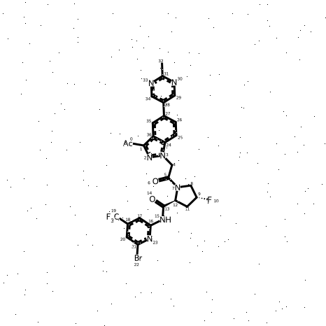 CC(=O)c1nn(CC(=O)N2C[C@H](F)C[C@H]2C(=O)Nc2cc(C(F)(F)F)cc(Br)n2)c2ccc(-c3cnc(C)nc3)cc12